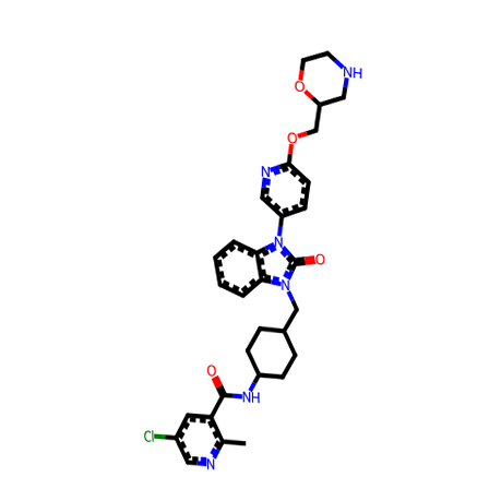 Cc1ncc(Cl)cc1C(=O)NC1CCC(Cn2c(=O)n(-c3ccc(OCC4CNCCO4)nc3)c3ccccc32)CC1